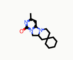 Cc1cc2n(c(=O)n1)CC1CC3(CCCCC3)CCN21